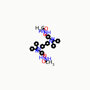 CC(=O)NNOc1ccc(-c2nc(-c3ccccc3)c(-c3ccccc3)n2-c2ccc(-c3ccc(-n4c(-c5ccc(ONNC(C)=O)cc5)nc(-c5ccccc5)c4-c4ccccc4)cc3)cc2)cc1